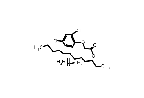 CCCCCCCCCCCC.CNC.O=C(O)COc1ccc(Cl)cc1Cl